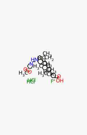 C=C(C)[C@@H]1CC[C@]2(NCCN3CCC(S(C)(=O)=O)CC3)CC[C@]3(C)[C@H](CC[C@@H]4[C@@]5(C)CC=C(C6=CC[C@](CF)(C(=O)O)CC6)C(C)(C)[C@@H]5CC[C@]43C)[C@@H]12.Cl.Cl